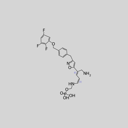 NC/C(=C\C=C/NCOP(=O)(O)O)c1cc(Cc2ccc(COc3cc(F)cc(F)c3F)cc2)no1